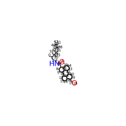 CC(CCNC(=O)c1ccc2c3cccc4c(C=O)ccc(c5cccc1c52)c43)C(C)(C)C(C)(C)CC(C)(C)C(C)(C)C